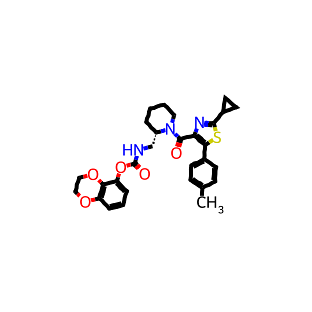 Cc1ccc(-c2sc(C3CC3)nc2C(=O)N2CCCC[C@H]2CNC(=O)Oc2cccc3c2OCCO3)cc1